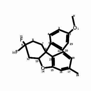 COc1ccc(C23CCC(F)(F)CC2Oc2cc(C)ccc23)cc1